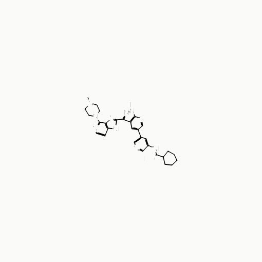 CN1CCN(c2nccc3[nH]c(-c4n[nH]c5ncc(-c6cncc(NC(O)C7CCCCC7)c6)cc45)nc23)CC1